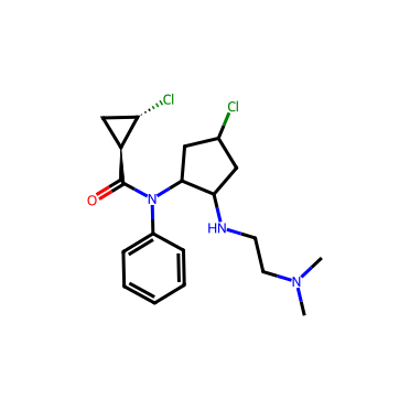 CN(C)CCNC1CC(Cl)CC1N(C(=O)[C@H]1C[C@@H]1Cl)c1ccccc1